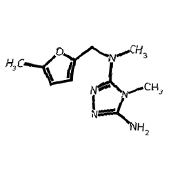 Cc1ccc(CN(C)c2nnc(N)n2C)o1